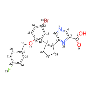 O=C(O)c1cncc(C2=C(c3cc(Br)ccc3OCc3ccc(F)cc3)CCC2)n1